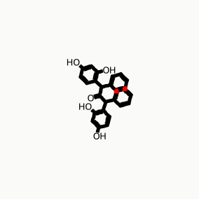 O=C(C(c1ccccc1)c1ccc(O)cc1O)C(c1ccccc1)c1ccc(O)cc1O